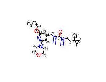 O=C(NCCC1(C(F)(F)F)CC1)NCc1cc(OCC(F)(F)F)nc(N2CCOCC2)c1